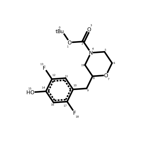 CC(C)(C)OC(=O)N1CCOC(Cc2cc(F)c(O)cc2F)C1